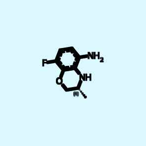 C[C@@H]1COc2c(F)ccc(N)c2N1